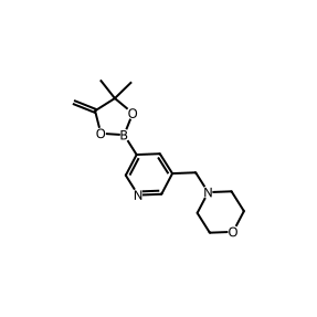 C=C1OB(c2cncc(CN3CCOCC3)c2)OC1(C)C